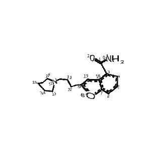 NC(=O)c1cccc2oc(CCN3CCCC3)cc12